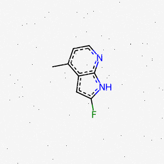 Cc1ccnc2[nH]c(F)cc12